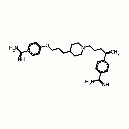 C=C(CCCN1CCC(CCCOc2ccc(C(=N)N)cc2)CC1)c1ccc(C(=N)N)cc1